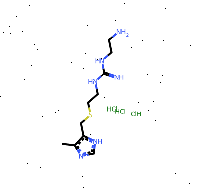 Cc1nc[nH]c1CSCCNC(=N)NCCN.Cl.Cl.Cl